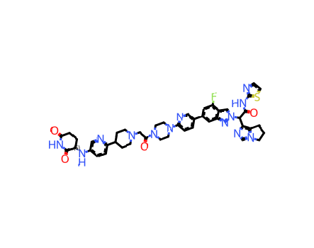 O=C1CC[C@H](Nc2ccc(C3CCN(CC(=O)N4CCN(c5ccc(-c6cc(F)c7cn(C(C(=O)Nc8nccs8)c8ncn9c8CCC9)nc7c6)cn5)CC4)CC3)nc2)C(=O)N1